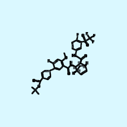 COc1cc(F)c(-c2ccc(C(=O)OC(C)(C)C)cc2)cc1C(=O)N[C@H]1[C@@H](C(=O)Nc2ccc(F)c(S(=O)(=O)C(F)(F)F)c2)[C@@H]2C=C[C@H]1C2